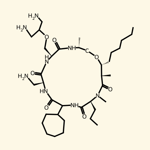 CCCCCC[C@H]1OC[C@@H](C)NC(=O)[C@H](COC(CN)CN)NC(=O)[C@H](CN)NC(=O)C(C2CCCCCC2)NC(=O)[C@H](CCC)N(C)C(=O)[C@@H]1C